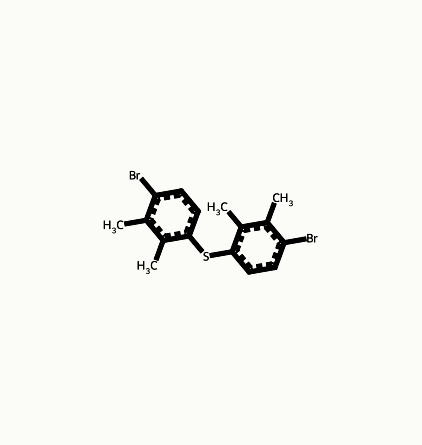 Cc1c(Br)ccc(Sc2ccc(Br)c(C)c2C)c1C